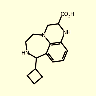 O=C(O)C1CN2CCNC(C3CCC3)c3cccc(c32)N1